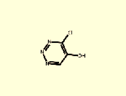 Oc1cnnnc1Cl